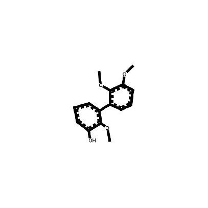 COc1cccc(-c2cccc(O)c2OC)c1OC